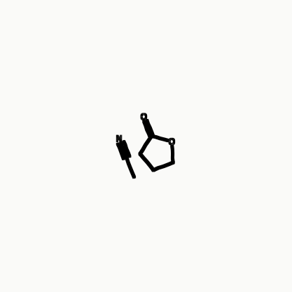 CC#N.O=C1CCCO1